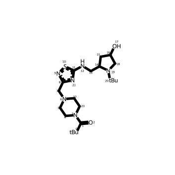 CC(C)(C)C(=O)N1CCN(Cc2nsc(NCC3CC(O)CN3C(C)(C)C)n2)CC1